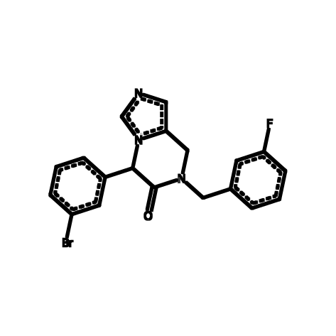 O=C1C(c2cccc(Br)c2)n2cncc2CN1Cc1cccc(F)c1